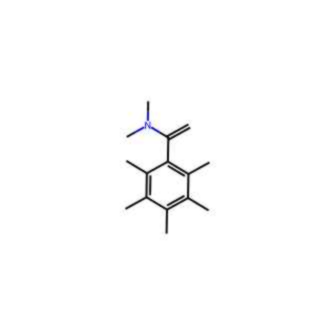 C=C(c1c(C)c(C)c(C)c(C)c1C)N(C)C